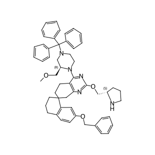 COC[C@H]1CN(C(c2ccccc2)(c2ccccc2)c2ccccc2)CCN1c1nc(OC[C@@H]2CCCN2)nc2c1CCC1(CCCc3ccc(OCc4ccccc4)cc31)C2